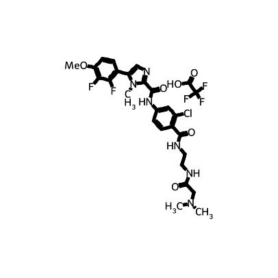 COc1ccc(-c2cnc(C(=O)Nc3ccc(C(=O)NCCNC(=O)CN(C)C)c(Cl)c3)n2C)c(F)c1F.O=C(O)C(F)(F)F